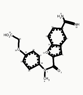 CN(C(=O)c1cc2cc(C(=N)N)ccc2o1)c1ccc(OCC(=O)O)cc1